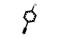 [C]#Cc1ccc(CCC)cc1